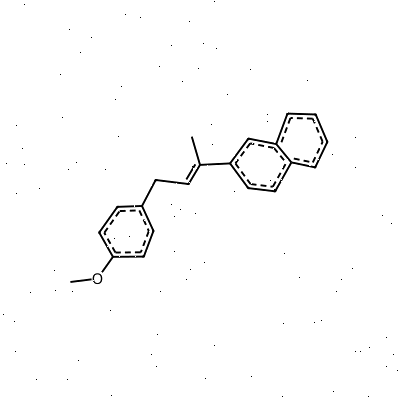 COc1ccc(CC=C(C)c2ccc3ccccc3c2)cc1